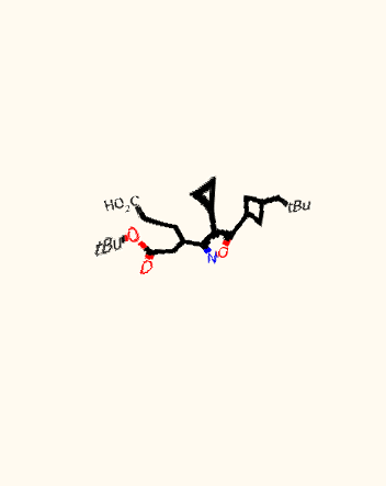 CC(C)(C)CC1CC(c2onc(C(CCC(=O)O)CC(=O)OC(C)(C)C)c2C2CC2)C1